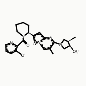 Cc1cn2nc([C@@H]3CCCCN3C(=O)c3ncccc3Cl)cc2nc1N1C[C@@H](C)[C@@H](O)C1